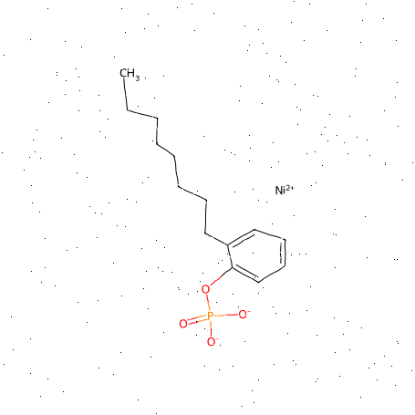 CCCCCCCCc1ccccc1OP(=O)([O-])[O-].[Ni+2]